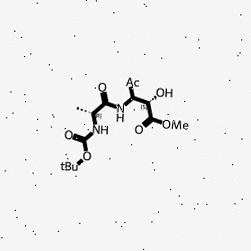 COC(=O)[C@@H](O)C(NC(=O)[C@@H](C)NC(=O)OC(C)(C)C)C(C)=O